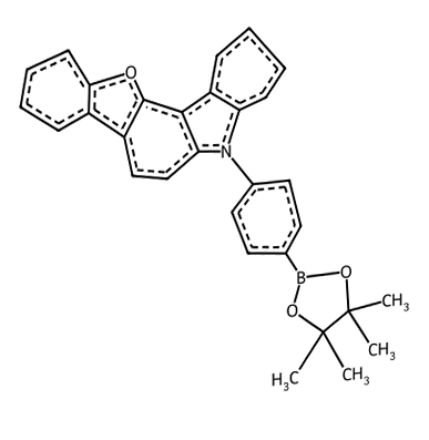 CC1(C)OB(c2ccc(-n3c4ccccc4c4c5oc6ccccc6c5ccc43)cc2)OC1(C)C